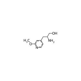 COc1cc(CC(N)CO)ccn1